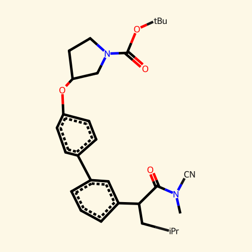 CC(C)CC(C(=O)N(C)C#N)c1cccc(-c2ccc(OC3CCN(C(=O)OC(C)(C)C)C3)cc2)c1